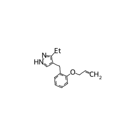 C=CCOc1ccccc1Cc1c[nH]nc1CC